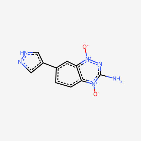 Nc1n[n+]([O-])c2cc(-c3cn[nH]c3)ccc2[n+]1[O-]